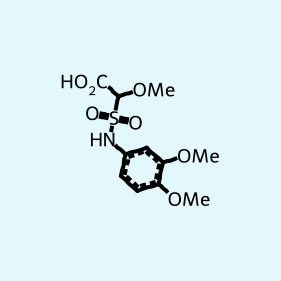 COc1ccc(NS(=O)(=O)C(OC)C(=O)O)cc1OC